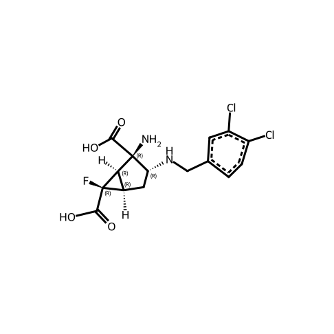 N[C@]1(C(=O)O)[C@H]2[C@@H](C[C@H]1NCc1ccc(Cl)c(Cl)c1)[C@]2(F)C(=O)O